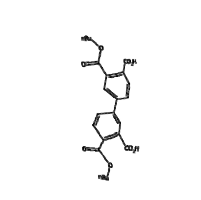 CCCCOC(=O)c1ccc(-c2ccc(C(=O)O)c(C(=O)OCCCC)c2)cc1C(=O)O